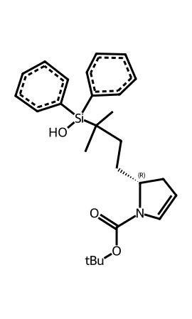 CC(C)(C)OC(=O)N1C=CC[C@H]1CCC(C)(C)[Si](O)(c1ccccc1)c1ccccc1